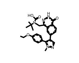 CCOc1ccc(-c2c(-c3ccc4c(=O)[nH]nc(CN(C(=O)O)C(C)(C)C)c4c3)cnn2C)cc1